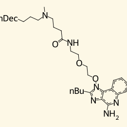 CCCCCCCCCCCCCN(C)CCCC(=O)NCCOCCOn1c(CCCC)nc2c(N)nc3ccccc3c21